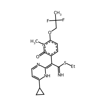 CCSC(=N)/C(=C1/N=CC=C(C2CC2)N1)c1ccc(OCC(C)(F)F)n(C)c1=O